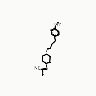 CCCc1ccc(CCCC[C@H]2CC[C@H](/C=C(/F)C#N)CC2)cc1